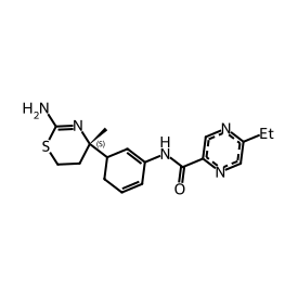 CCc1cnc(C(=O)NC2=CC([C@]3(C)CCSC(N)=N3)CC=C2)cn1